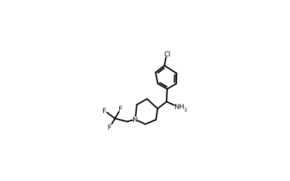 NC(c1ccc(Cl)cc1)C1CCN(CC(F)(F)F)CC1